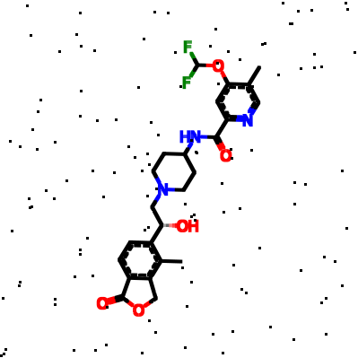 Cc1cnc(C(=O)NC2CCN(C[C@H](O)c3ccc4c(c3C)COC4=O)CC2)cc1OC(F)F